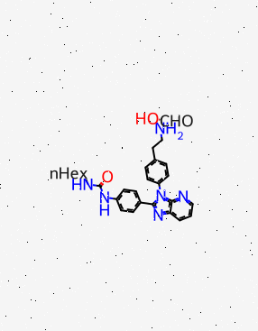 CCCCCCNC(=O)Nc1ccc(-c2nc3cccnc3n2-c2ccc(CCN)cc2)cc1.O=CO